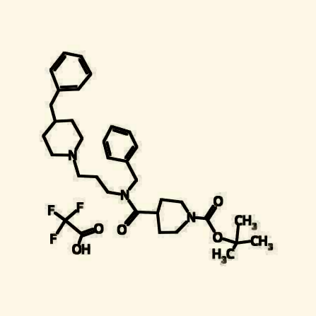 CC(C)(C)OC(=O)N1CCC(C(=O)N(CCCN2CCC(Cc3ccccc3)CC2)Cc2ccccc2)CC1.O=C(O)C(F)(F)F